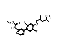 COC(=O)Nc1cc(-c2cc(F)c(OCC(C)CC(C)N)cc2F)ncn1